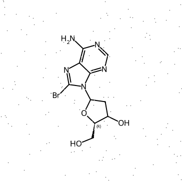 Nc1ncnc2c1nc(Br)n2C1CC(O)[C@@H](CO)O1